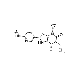 CCn1c(=O)c2[nH]c(-c3ccc(NC)nc3)nc2n(C2CC2)c1=O